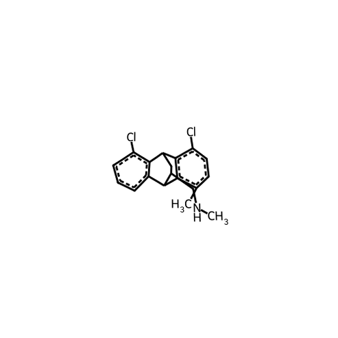 CNCC1CC2c3c(Cl)cccc3C1c1c(C)ccc(Cl)c12